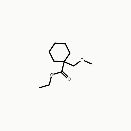 CCOC(=O)C1(COC)CCCCC1